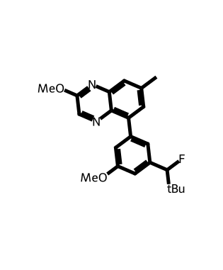 COc1cc(-c2cc(C)cc3nc(OC)cnc23)cc(C(F)C(C)(C)C)c1